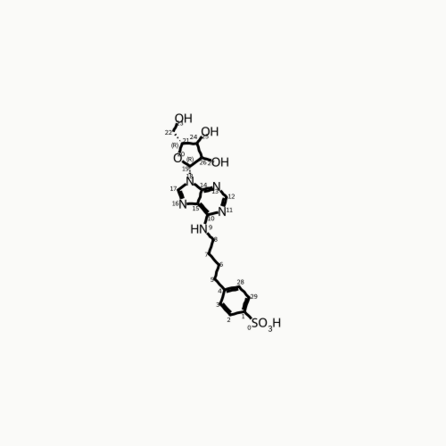 O=S(=O)(O)c1ccc(CCCCNc2ncnc3c2ncn3[C@@H]2O[C@H](CO)C(O)C2O)cc1